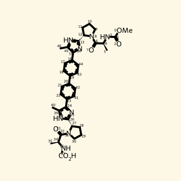 COC(=O)N[C@@H](C)C(=O)N1CCC[C@H]1c1nc(-c2ccc(-c3ccc(-c4nc([C@@H]5CCCN5C(=O)[C@H](C)NC(=O)O)[nH]c4C)cc3)cc2)c(C)[nH]1